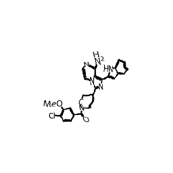 COc1cc(C(=O)N2CCC(c3nc(-c4cc5ccccc5[nH]4)c4c(N)nccn34)CC2)ccc1Cl